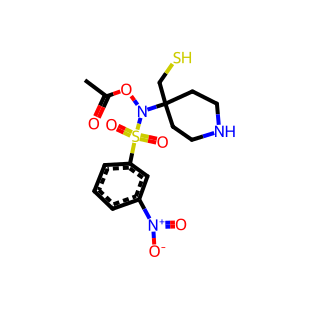 CC(=O)ON(C1(CS)CCNCC1)S(=O)(=O)c1cccc([N+](=O)[O-])c1